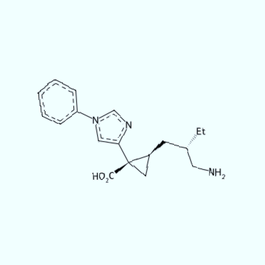 CC[C@H](CN)C[C@H]1C[C@]1(C(=O)O)c1cn(-c2ccccc2)cn1